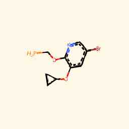 PCOc1ncc(Br)cc1OC1CC1